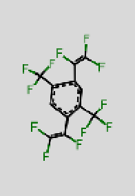 FC(F)=C(F)c1cc(C(F)(F)F)c(C(F)=C(F)F)cc1C(F)(F)F